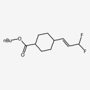 CCCCOC(=O)C1CCC(/C=C/C(F)F)CC1